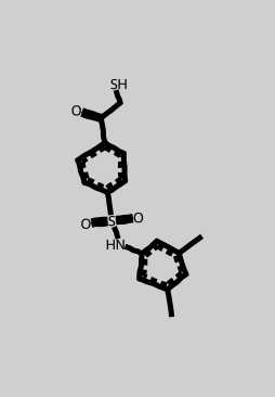 Cc1cc(C)cc(NS(=O)(=O)c2ccc(C(=O)CS)cc2)c1